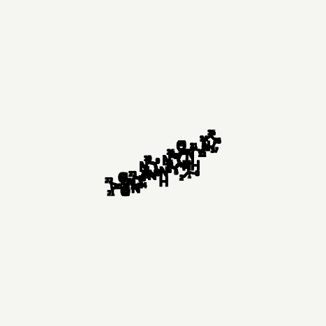 CC(C)Nc1cc(Nc2ccnc(-c3cnn(S(=O)(=O)C4CC4)c3)n2)ncc1C(=O)NCCN1CCCC1